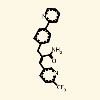 NC(=O)C(=Cc1ccc(C(F)(F)F)nc1)Cc1ccc(-c2ccccn2)cc1